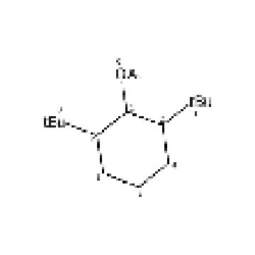 CC(=O)OC1C(C(C)(C)C)CCCC1C(C)(C)C